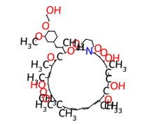 CO[C@H]1C[C@@H](O)CC[C@@H](C)[C@H](O)C(=O)C(=O)N2CCCC[C@@H]2C(=O)O[C@@H]([C@H](C)C[C@@H]2CC[C@@H](OCCO)[C@H](OC)C2)CC(=O)[C@H](C)/C=C(\C)[C@@H](O)[C@@H](OC)C(=O)[C@H](C)C[C@H](C)\C=C/C=C/C=C/1C